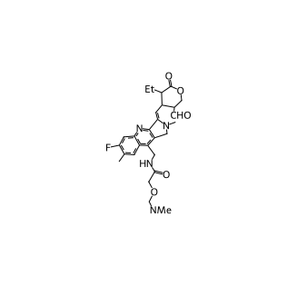 CCC1C(=O)OCC(C=O)C1/C=C1/c2nc3cc(F)c(C)cc3c(CNC(=O)COCNC)c2CN1C